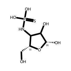 OC[C@H]1O[C@@H](O)C(O)C1NP(O)(O)=S